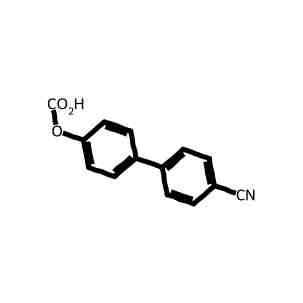 N#Cc1ccc(-c2ccc(OC(=O)O)cc2)cc1